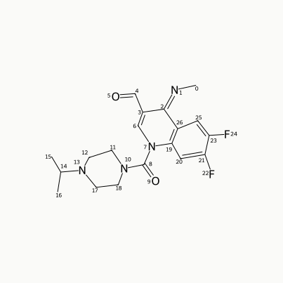 C/N=c1/c(C=O)cn(C(=O)N2CCN(C(C)C)CC2)c2cc(F)c(F)cc12